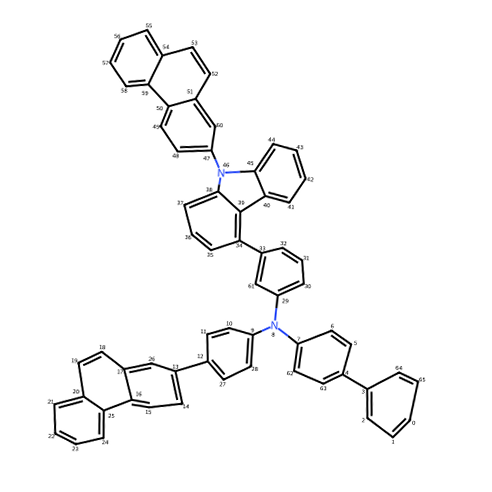 c1ccc(-c2ccc(N(c3ccc(-c4ccc5c(ccc6ccccc65)c4)cc3)c3cccc(-c4cccc5c4c4ccccc4n5-c4ccc5c(ccc6ccccc65)c4)c3)cc2)cc1